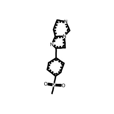 CS(=O)(=O)c1ccc(-c2cn3cnccc3n2)cc1